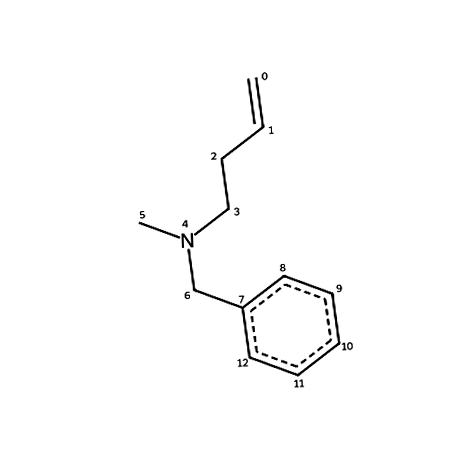 C=CCCN(C)Cc1ccccc1